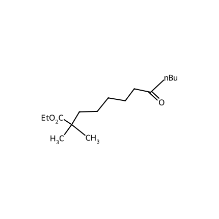 CCCCC(=O)CCCCCC(C)(C)C(=O)OCC